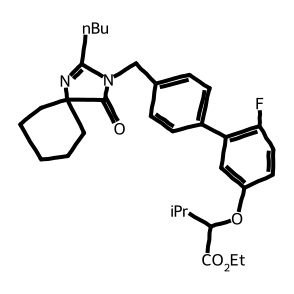 CCCCC1=NC2(CCCCC2)C(=O)N1Cc1ccc(-c2cc(OC(C(=O)OCC)C(C)C)ccc2F)cc1